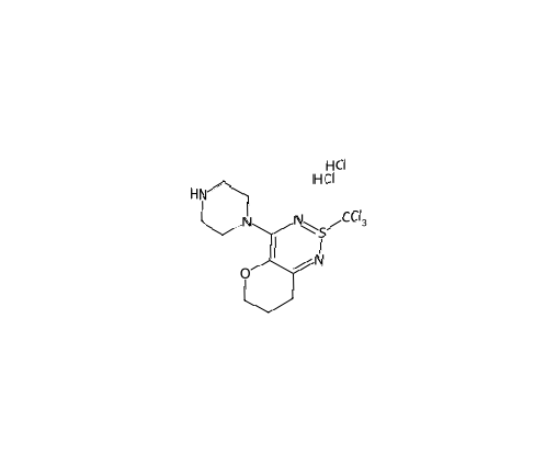 Cl.Cl.ClC(Cl)(Cl)S1=NC(N2CCNCC2)=C2OCCCC2=N1